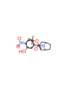 CC(C)(C)OC(=O)N1C2C=C(c3ccc([N+](=O)[O-])c(O)c3)CC1CC2